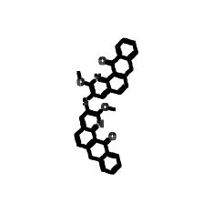 COc1nc2c3c(ccc2cc1Sc1cc2ccc4c(c2nc1OC)C(=O)c1ccccc1C4)Cc1ccccc1C3=O